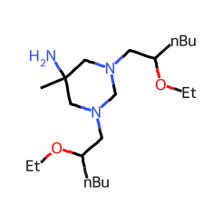 CCCCC(CN1CN(CC(CCCC)OCC)CC(C)(N)C1)OCC